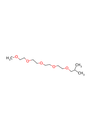 COCCOCCOCCOCCOCC(C)C